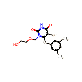 Cc1cc(C)cc([Se]c2c(C(C)C)c(=O)[nH]c(=O)n2COCCO)c1